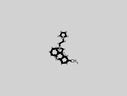 Cc1ccc2nc3cccc4c3c(c2c1)CN4CCN1CCCC1